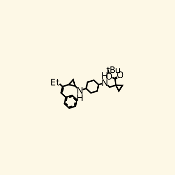 CCC(=Cc1ccccc1)C1CC1NC1CCC(NCC2(C(=O)OC(C)(C)C)CC2)CC1